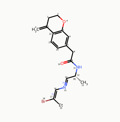 C=C1CCOc2cc(CC(=O)N[C@H](C)/C=N/C=C(/Br)CC)ccc21